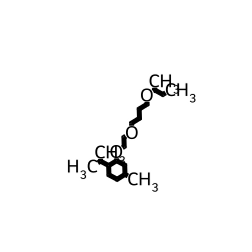 CCC(C)OCCCCOCCOC1CC(C)CCC1C(C)C